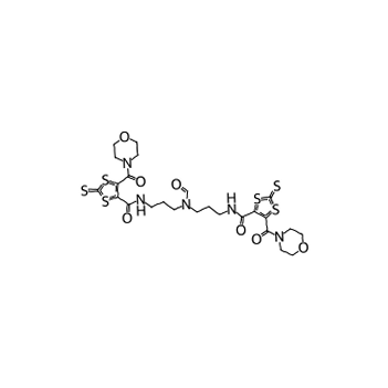 O=CN(CCCNC(=O)c1sc(=S)sc1C(=O)N1CCOCC1)CCCNC(=O)c1sc(=S)sc1C(=O)N1CCOCC1